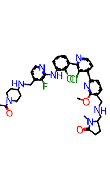 COc1nc(-c2ccnc(-c3cccc(Nc4nccc(CNC5CCN(C(C)=O)CC5)c4F)c3Cl)c2Cl)ccc1CNCC1CCC(=O)N1C